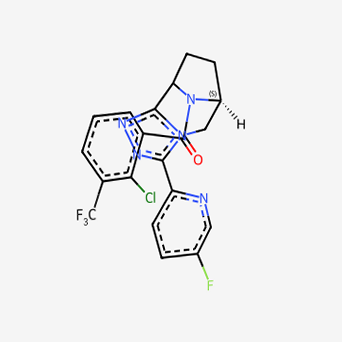 O=C(c1cccc(C(F)(F)F)c1Cl)N1C2CC[C@H]1Cn1c(-c3ccc(F)cn3)nnc12